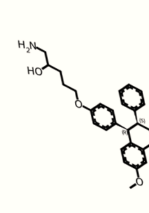 COc1ccc2c(c1)CC[C@H](c1ccccc1)[C@@H]2c1ccc(OCCCC(O)CN)cc1